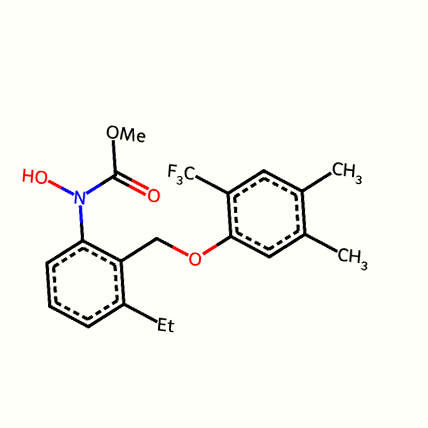 CCc1cccc(N(O)C(=O)OC)c1COc1cc(C)c(C)cc1C(F)(F)F